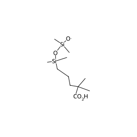 CC(C)(CCC[Si](C)(C)O[Si](C)(C)[O])C(=O)O